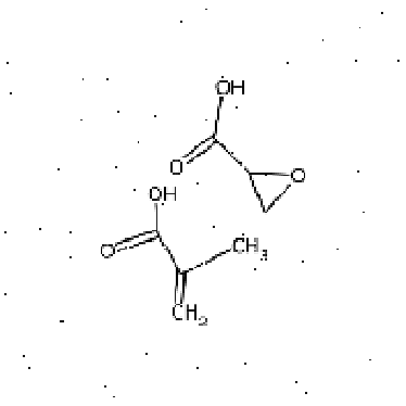 C=C(C)C(=O)O.O=C(O)C1CO1